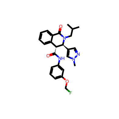 CC(C)CN1C(=O)c2ccccc2[C@@H](C(=O)Nc2cccc(OCF)c2)[C@@H]1c1cnn(C)c1